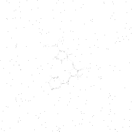 CN(C)c1ncc(/C=C2\S/C(=N\c3ccccc3)NC2=O)s1